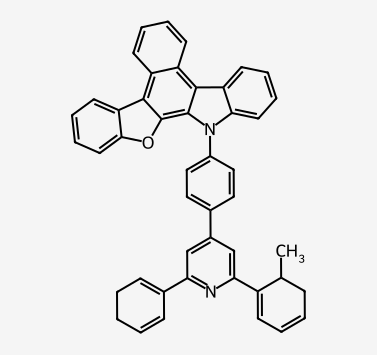 CC1CC=CC=C1c1cc(-c2ccc(-n3c4ccccc4c4c5ccccc5c5c6ccccc6oc5c43)cc2)cc(C2=CCCC=C2)n1